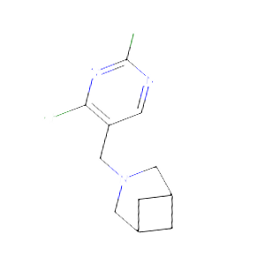 Clc1ncc(CN2CC3CC(C3)C2)c(Cl)n1